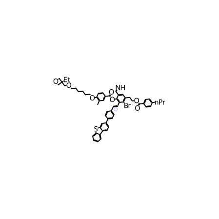 CCCc1ccc(C(=O)OCCc2cc(C=N)c(OC(=O)c3ccc(OCCCCCCOCC4(CC)COC4)c(C)c3)c(/C=C/c3ccc(-c4ccc5c(c4)sc4ccccc45)cc3)c2Br)cc1